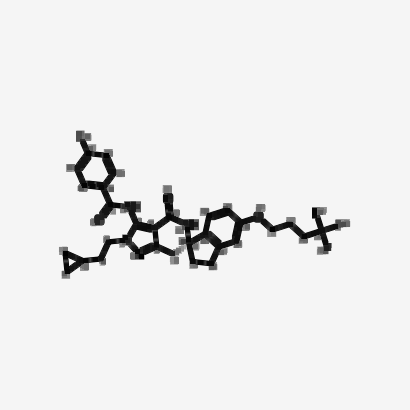 O=C(Nc1c2c(nn1CCC1CC1)C[C@]1(CCc3cc(OCCCC(F)(F)F)ccc31)NC2=O)c1ccc(F)cc1